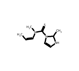 C/C=C\N(C)C(=S)N1C=CNC1C